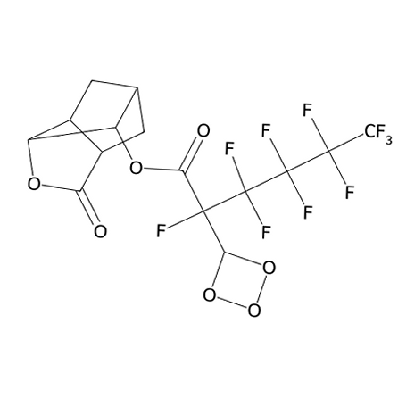 O=C1OC2C3CC(CC13)C2OC(=O)C(F)(C1OOO1)C(F)(F)C(F)(F)C(F)(F)C(F)(F)F